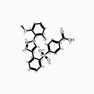 COc1cccc(F)c1-n1cc(-c2ccccc2S(=O)(=O)c2ccc(C(=O)O)cc2)nn1